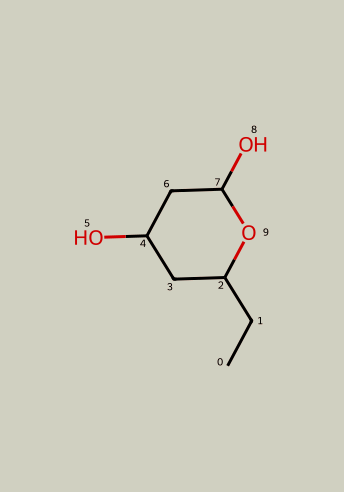 CCC1CC(O)CC(O)O1